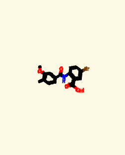 COc1cc(C(=O)Nc2ccc(Br)cc2C(=O)O)ccc1C